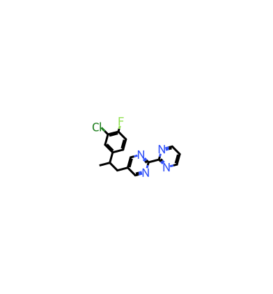 CC(Cc1cnc(-c2ncccn2)nc1)c1ccc(F)c(Cl)c1